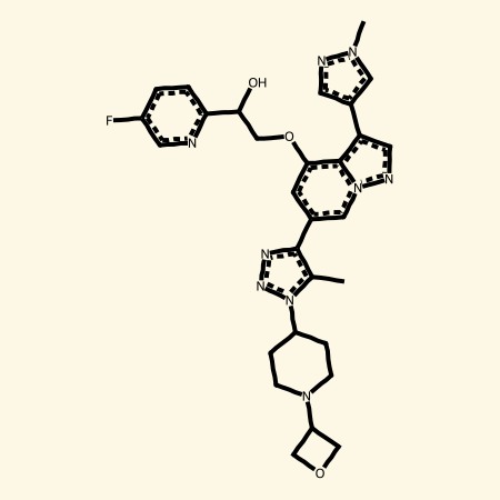 Cc1c(-c2cc(OCC(O)c3ccc(F)cn3)c3c(-c4cnn(C)c4)cnn3c2)nnn1C1CCN(C2COC2)CC1